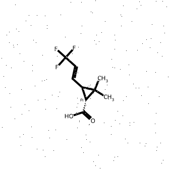 CC1(C)C(C=CC(F)(F)F)[C@H]1C(=O)O